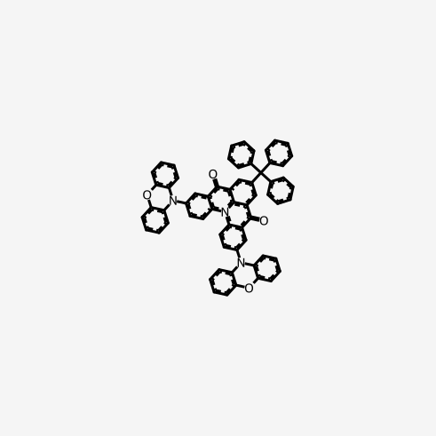 O=c1c2cc(N3c4ccccc4Oc4ccccc43)ccc2n2c3ccc(N4c5ccccc5Oc5ccccc54)cc3c(=O)c3cc(C(c4ccccc4)(c4ccccc4)c4ccccc4)cc1c32